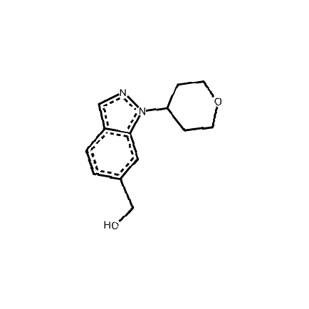 OCc1ccc2cnn(C3CCOCC3)c2c1